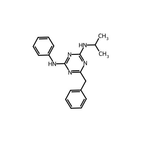 CC(C)Nc1nc(Cc2ccccc2)nc(Nc2ccccc2)n1